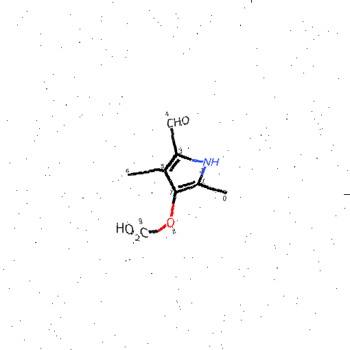 Cc1[nH]c(C=O)c(C)c1OC(=O)O